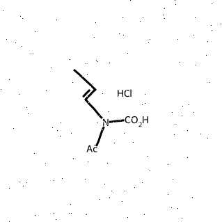 CC=CN(C(C)=O)C(=O)O.Cl